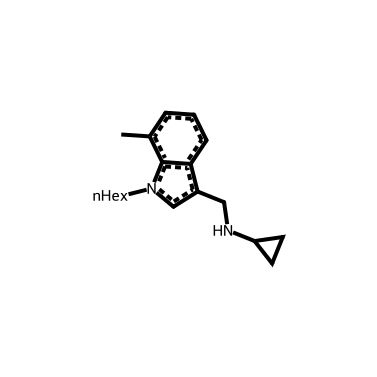 CCCCCCn1cc(CNC2CC2)c2cccc(C)c21